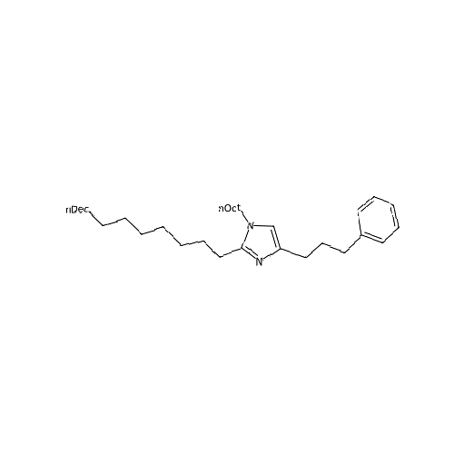 CCCCCCCCCCCCCCCCCc1nc(CCCc2ccccc2)cn1CCCCCCCC